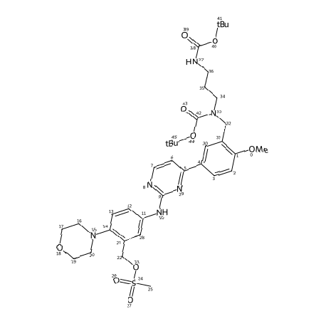 COc1ccc(-c2ccnc(Nc3ccc(N4CCOCC4)c(COS(C)(=O)=O)c3)n2)cc1CN(CCCNC(=O)OC(C)(C)C)C(=O)OC(C)(C)C